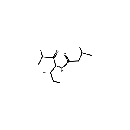 CC[C@H](C)[C@H](NC(=O)CN(C)C)C(=O)C(C)C